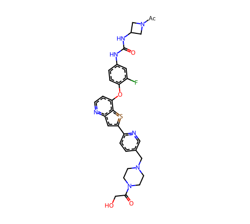 CC(=O)N1CC(NC(=O)Nc2ccc(Oc3ccnc4cc(-c5ccc(CN6CCN(C(=O)CO)CC6)cn5)sc34)c(F)c2)C1